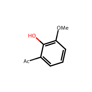 COc1cccc(C(C)=O)c1O